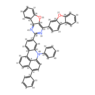 c1ccc(-c2ccc3c4c(cccc24)-c2ccc(-c4nc(-c5ccc6c(c5)oc5ccccc56)c5oc6ccccc6c5n4)cc2N3c2ccccc2)cc1